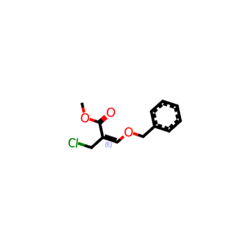 COC(=O)/C(=C\OCc1ccccc1)CCl